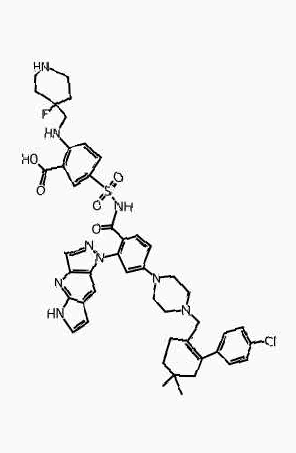 CC1(C)CCC(CN2CCN(c3ccc(C(=O)NS(=O)(=O)c4ccc(NCC5(F)CCNCC5)c(C(=O)O)c4)c(-n4ncc5nc6[nH]ccc6cc54)c3)CC2)=C(c2ccc(Cl)cc2)C1